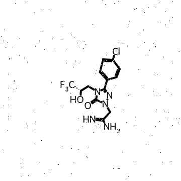 N=C(N)Cn1nc(-c2ccc(Cl)cc2)n(C[C@H](O)C(F)(F)F)c1=O